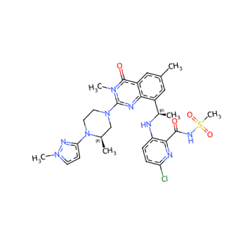 Cc1cc([C@@H](C)Nc2ccc(Cl)nc2C(=O)NS(C)(=O)=O)c2nc(N3CCN(c4ccn(C)n4)[C@H](C)C3)n(C)c(=O)c2c1